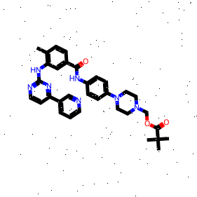 Cc1ccc(C(=O)Nc2ccc(N3CCN(COC(=O)C(C)(C)C)CC3)cc2)cc1Nc1nccc(-c2cccnc2)n1